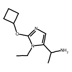 CCn1c(C(C)N)cnc1OC1CCC1